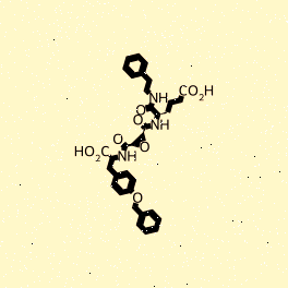 O=C(O)CCC[C@H](NC(=O)[C@@H]1O[C@H]1C(=O)N[C@@H](Cc1ccc(OCc2ccccc2)cc1)C(=O)O)C(=O)NCCc1ccccc1